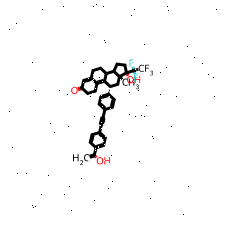 C=C(O)c1ccc(C#Cc2ccc([C@H]3CC4(C)C(CCC4(O)C(F)(F)C(F)(F)F)C4CCC5=CC(=O)CCC5=C43)cc2)cc1